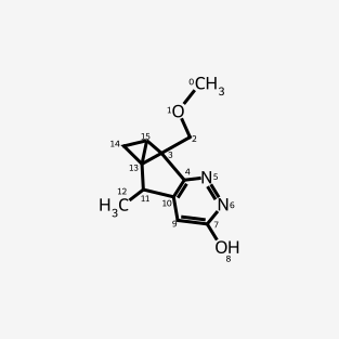 COCC12c3nnc(O)cc3C(C)C13CC23